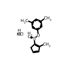 Cl.Cl.[CH2]=[Ti]([O]c1cc(C)cc(C)c1)[C]1=C(C)C=CC1